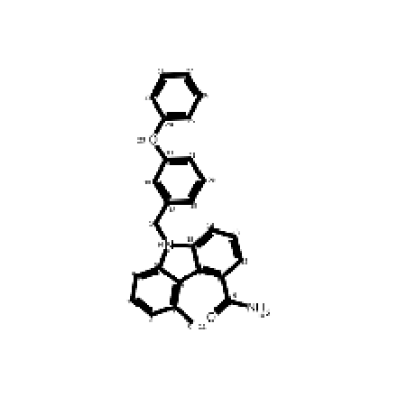 Cc1cccc2c1c1c(C(N)=O)cccc1n2Cc1cccc(Oc2ccccc2)c1